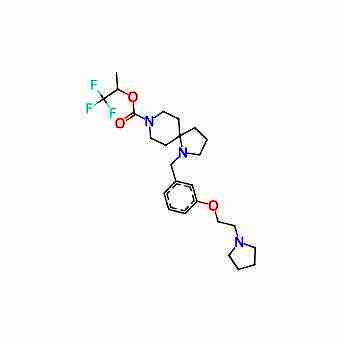 CC(OC(=O)N1CCC2(CCCN2Cc2cccc(OCCN3CCCC3)c2)CC1)C(F)(F)F